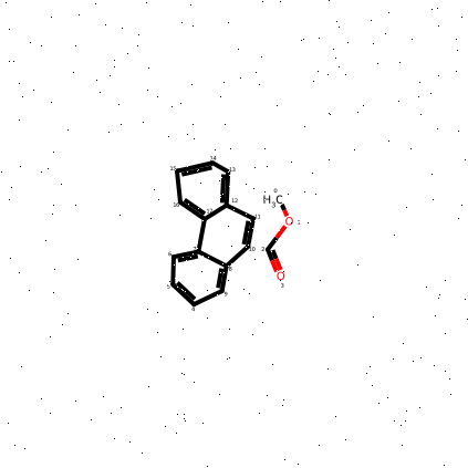 COC=O.c1ccc2c(c1)ccc1ccccc12